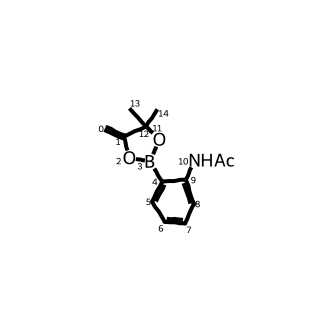 C=C1OB(c2ccccc2NC(C)=O)OC1(C)C